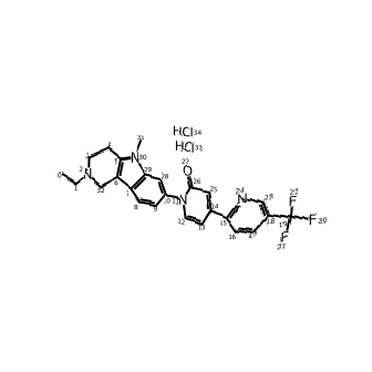 CCN1CCc2c(c3ccc(-n4ccc(-c5ccc(C(F)(F)F)cn5)cc4=O)cc3n2C)C1.Cl.Cl